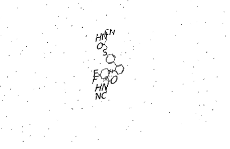 N#CCNC(=O)[C@@H]1CC(F)(F)CC[C@H]1c1ccccc1-c1ccc(SCC(=O)CNC#N)cc1